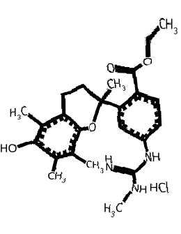 CCOC(=O)c1ccc(NC(=N)NC)cc1C1(C)CCc2c(C)c(O)c(C)c(C)c2O1.Cl